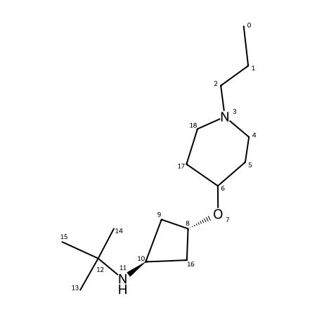 CCCN1CCC(O[C@H]2C[C@H](NC(C)(C)C)C2)CC1